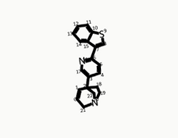 C1=CC2(c3ccc(-c4csc5ccccc45)nc3)CCN(C1)C2